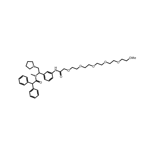 COCCOCCOCCOCCOCCOCC(=O)Nc1cccc(C(CN2CCCC2)N(C)C(=O)C(c2ccccc2)c2ccccc2)c1